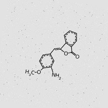 COc1ccc(C=C2OC(=O)c3ccccc32)cc1N